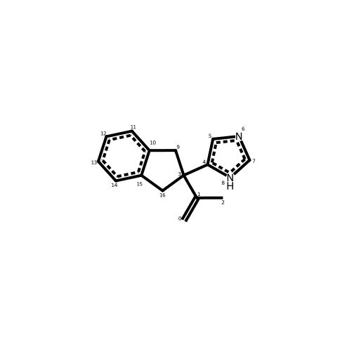 C=C(C)C1(c2cnc[nH]2)Cc2ccccc2C1